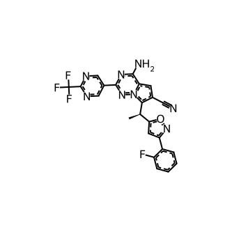 C[C@H](c1cc(-c2ccccc2F)no1)c1c(C#N)cc2c(N)nc(-c3cnc(C(F)(F)F)nc3)nn12